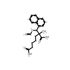 CC(CCCCC(=O)O)(C(=O)O)C(OC=O)c1cccc2ccccc12